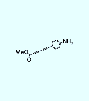 COC(=O)C#CC#Cc1ccc(N)cc1